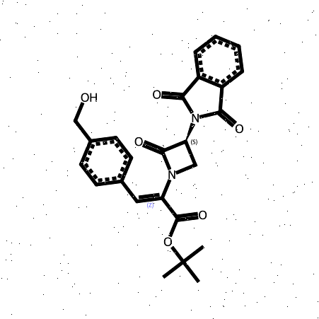 CC(C)(C)OC(=O)/C(=C/c1ccc(CO)cc1)N1C[C@H](N2C(=O)c3ccccc3C2=O)C1=O